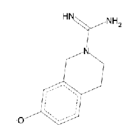 N=C(N)N1CCc2ccc([O])cc2C1